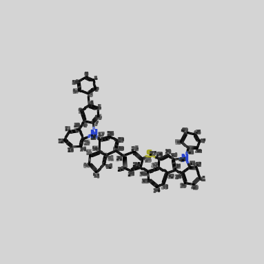 c1ccc(-c2ccc3c(c2)c2ccccc2n3-c2ccc(-c3ccc4c(c3)Sc3cc5c(c6cccc-4c36)c3ccccc3n5-c3ccccc3)c3ccccc23)cc1